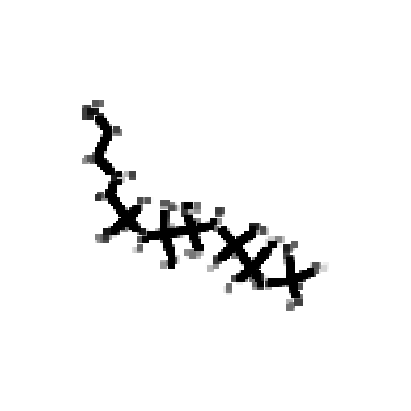 FC(F)(F)OC(F)(F)C(F)(F)OC(F)(F)C(F)(F)OC(F)(F)COCCBr